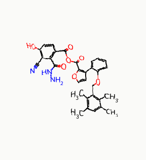 Cc1cc(C)c(C)c(COc2ccccc2-c2ccoc2C(=O)OC(=O)c2ccc(O)c(C#N)c2C(=O)NN)c1C